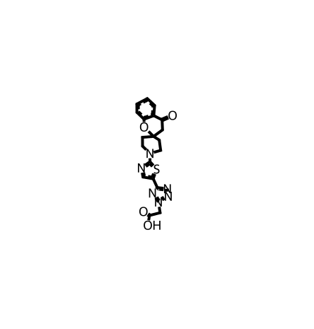 O=C(O)Cn1nnc(-c2cnc(N3CCC4(CC3)CC(=O)c3ccccc3O4)s2)n1